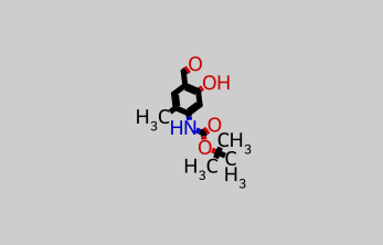 Cc1cc(C=O)c(O)cc1NC(=O)OC(C)(C)C